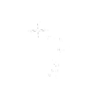 O.O.O.O.O.O.O.O=S(=O)(O)O.[MgH2].[NaH].[NaH]